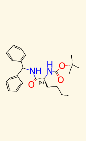 CCCC[C@H](NC(=O)OC(C)(C)C)C(=O)NC(c1ccccc1)c1ccccc1